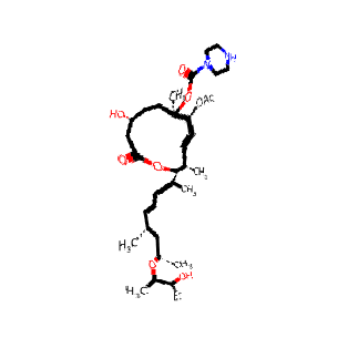 CC[C@H](O)C(C)O[C@@H](C)C[C@H](C)/C=C/C=C(\C)[C@H]1OC(=O)C[C@H](O)CC[C@@](C)(OC(=O)N2CCNCC2)[C@@H](OC(C)=O)/C=C/[C@@H]1C